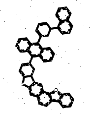 C1=CC(c2cccc3ccccc23)CC(c2c3ccccc3c(C3=CC=C4Sc5cc6ccc7c8ccccc8oc7c6cc5C4C3)c3ccccc23)=C1